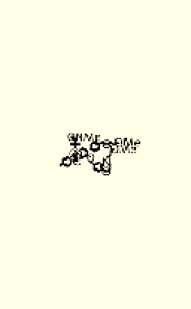 CNC(=O)C(C)(C)C[C@@H]1C[C@H](c2ccc(COCCOC)cc2)[C@@H](OCc2ccc3c(c2)N(CCCOC)CCO3)CN1S(=O)(=O)c1ccc(C)cc1